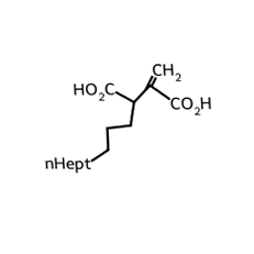 C=C(C(=O)O)C(CCCCCCCCCC)C(=O)O